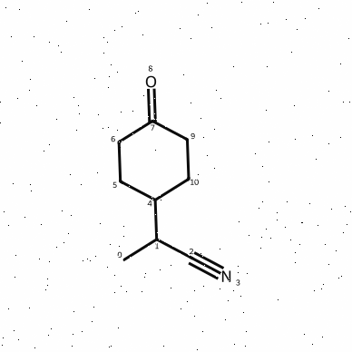 CC(C#N)C1CCC(=O)CC1